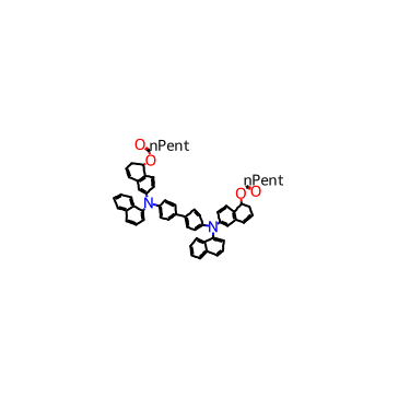 CCCCCC(=O)OC1CC=Cc2cc(N(c3ccc(-c4ccc(N(c5ccc6c(c5)C=CCC6OC(=O)CCCCC)c5cccc6ccccc56)cc4)cc3)c3cccc4ccccc34)ccc21